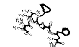 CC[C@H](C)[C@H](N)C(=O)N(C)[C@H](C[C@@H](OCc1ccccc1)c1nc(C(=O)NC(Cc2ccccc2)CC(C)C(=O)O)cs1)C(C)C